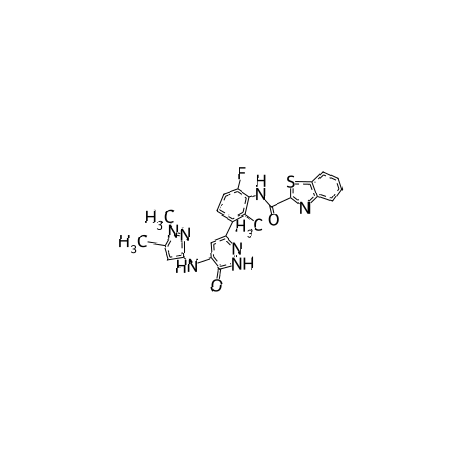 Cc1c(-c2cc(Nc3cc(C)n(C)n3)c(=O)[nH]n2)ccc(F)c1NC(=O)c1nc2ccccc2s1